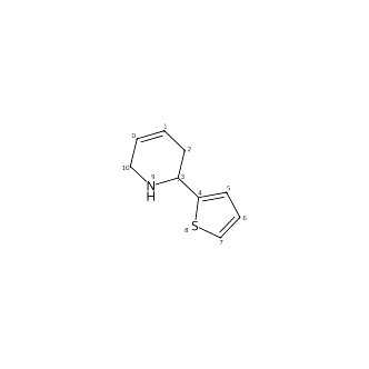 C1=CC[C](c2cccs2)NC1